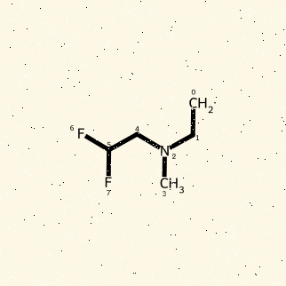 [CH2]CN(C)CC(F)F